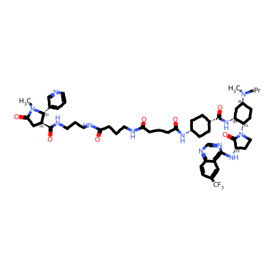 CC(C)N(C)[C@@H]1CC[C@H](N2CC[C@H](Nc3ncnc4ccc(C(F)(F)F)cc34)C2=O)[C@H](NC(=O)[C@H]2CC[C@@H](NC(=O)CCCC(=O)NCCCC(=O)NCCCNC(=O)[C@H]3CC(=O)N(C)[C@@H]3c3cccnc3)CC2)C1